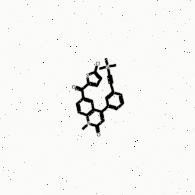 Cn1c(=O)cc(-c2cccc(C#C[Si](C)(C)C)c2)c2cc(C(=O)c3ccc(Cl)s3)ccc21